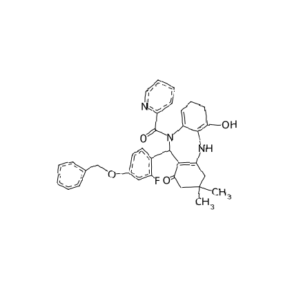 CC1(C)CC(=O)C2=C(C1)NC1=C(O)CCC=C1N(C(=O)c1ccccn1)C2c1ccc(OCc2ccccc2)cc1F